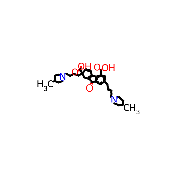 CC1CCN(CCCCc2cc(C(=O)O)c3c(c2)C(=O)C2=C3C=CC(CCCCN3CCC(C)CC3)(C(=O)O)C2)CC1